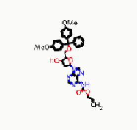 C=CCOC(=O)Nc1ncnc2c1ncn2[C@H]1C[C@H](O)[C@@H](COC(c2ccccc2)(c2ccc(OC)cc2)c2ccc(OC)cc2)O1